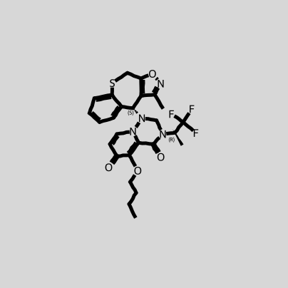 CCCCOc1c2n(ccc1=O)N([C@@H]1c3ccccc3SCc3onc(C)c31)CN([C@H](C)C(F)(F)F)C2=O